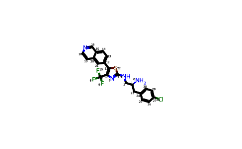 N[C@H](CNc1nc(C(F)(F)F)c(-c2ccc3cnccc3c2)s1)Cc1ccc(Cl)cc1